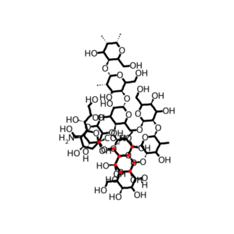 CC1C(O)[C@H](O[C@@H]2OC(CO[C@]3(C(=O)O)C[C@@H](O)[C@@H](N)C([C@H](O)[C@H](O)CO)O3)[C@H](O)C(O)[C@@H]2O)[C@H](CO)O[C@H]1O[C@@H]1C(O)[C@H](O)C(CO)O[C@@H]1OCC1O[C@@H](O[C@@H]2C(CO)O[C@@H](O[C@@H]3C(CO)O[C@@H](C)[C@@H](C)C3O)[C@@H](C)C2O)[C@H](O)C(OC2O[C@H](CO)[C@@H](O)C(O)C2O[C@@H]2OC(CO)[C@@H](O[C@@H]3OC(CO)[C@H](O)C(O)[C@@H]3O)C(O)[C@@H]2C)[C@@H]1O